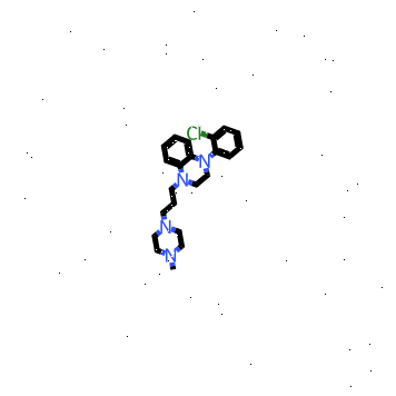 CN1CCN(CCCN2CCN(c3ccccc3Cl)c3ccccc32)CC1